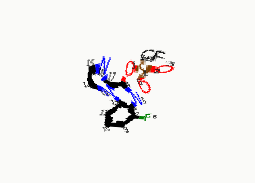 O=S(=O)(Oc1nc2c(F)cccc2n2ccnc12)C(F)(F)F